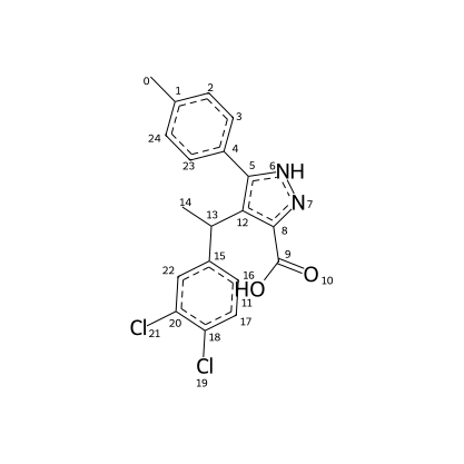 Cc1ccc(-c2[nH]nc(C(=O)O)c2C(C)c2ccc(Cl)c(Cl)c2)cc1